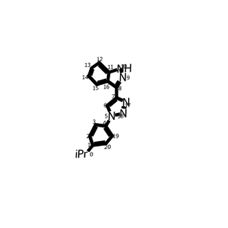 CC(C)c1ccc(-n2cc(-c3n[nH]c4ccccc34)nn2)cc1